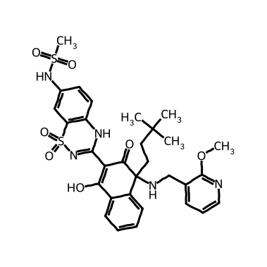 COc1ncccc1CNC1(CCC(C)(C)C)C(=O)C(C2=NS(=O)(=O)c3cc(NS(C)(=O)=O)ccc3N2)=C(O)c2ccccc21